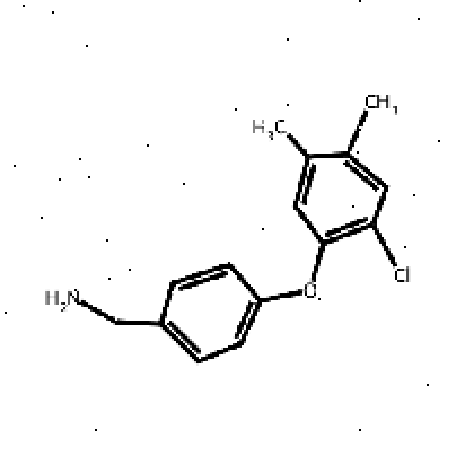 Cc1cc(Cl)c(Oc2ccc(CN)cc2)cc1C